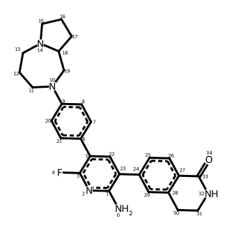 Nc1nc(F)c(-c2ccc(N3CCCN4CCCC4C3)cc2)cc1-c1ccc2c(c1)CCNC2=O